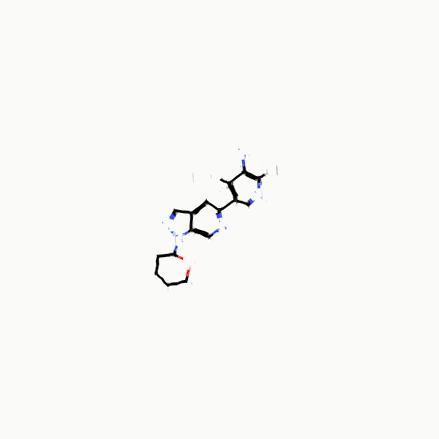 Cc1ncc(-c2cc3cnn(C4CCCCO4)c3cn2)c(C)c1N